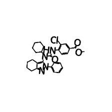 COC(=O)c1ccc(NC(=O)N(c2c3c(nn2-c2ccccc2)CCCC3)C2CCCCC2)c(Cl)c1